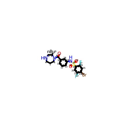 CCCCC1CNCCCN1C(=O)c1cccc(NS(=O)(=O)c2cc(F)c(Br)cc2F)c1